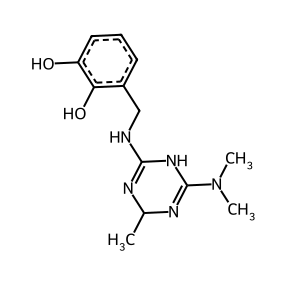 CC1N=C(NCc2cccc(O)c2O)NC(N(C)C)=N1